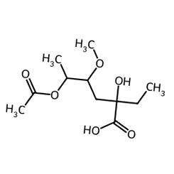 CCC(O)(CC(OC)C(C)OC(C)=O)C(=O)O